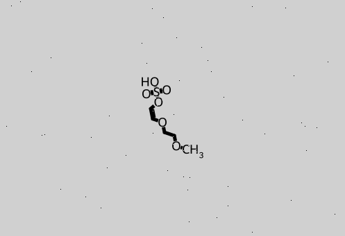 COCCO/C=C\OS(=O)(=O)O